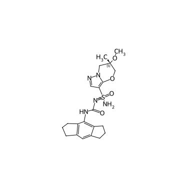 CO[C@]1(C)COc2c([S@@](N)(=O)=NC(=O)Nc3c4c(cc5c3CCC5)CCC4)cnn2C1